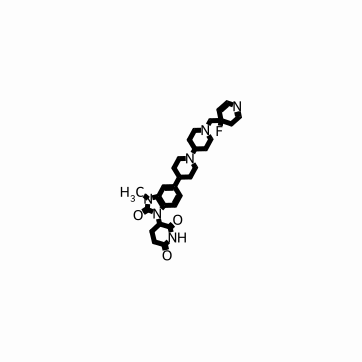 Cn1c(=O)n(C2CCC(=O)NC2=O)c2ccc(C3CCN(C4CCN(CC5(F)C=CN=CC5)CC4)CC3)cc21